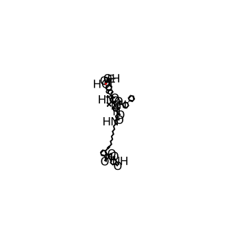 CC(C)(C)C(NC(=O)c1cc2cc(C(F)(F)P(=O)(O)O)ccc2s1)C(=O)N1CCN(C(=O)CC(=O)NCCCCCCCCCC#Cc2cccc3c2C(=O)N(C2CCC(=O)NC2=O)C3=O)C[C@H]1C(=O)N1CCC[C@H](c2ccccc2)C1